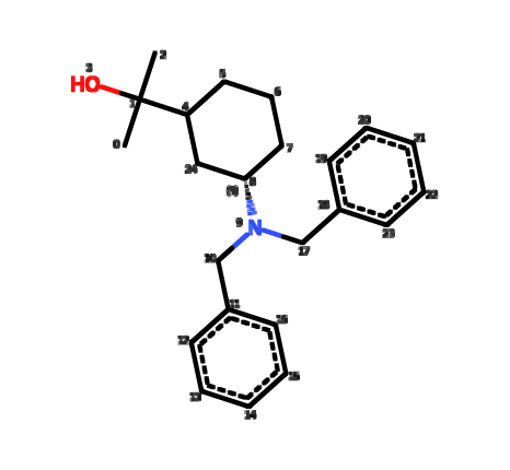 CC(C)(O)C1CCC[C@H](N(Cc2ccccc2)Cc2ccccc2)C1